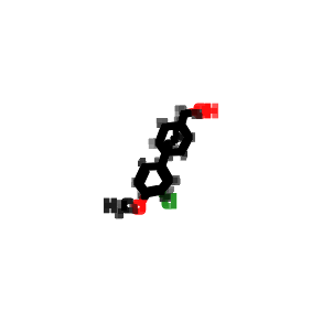 COc1ccc(C23CCC(CO)(CC2)CC3)cc1Cl